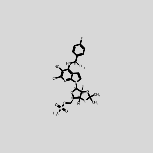 C[C@@H](Nc1c(C#N)c(Cl)nc2c1ccn2[C@@H]1O[C@H](COS(C)(=O)=O)[C@H]2OC(C)(C)O[C@H]21)c1ccc(F)cc1